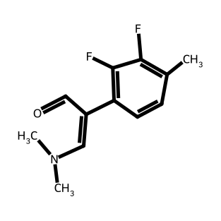 Cc1ccc(/C(C=O)=C/N(C)C)c(F)c1F